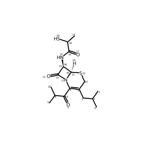 CC(C)CC1=C(C(=O)C(C)C)N2C(=O)[C@@H](NC(=O)C(C)S)[C@H]2SC1